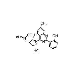 CCCN(C[C@H]1CCN(c2nc(-c3ccccc3O)nc3cc(C)ccc23)C1)C(=O)O.Cl